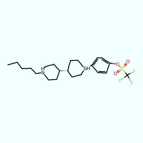 CCCCC[SiH]1CCC([C@H]2CC[Si@H](c3ccc(OS(=O)(=O)C(F)(F)F)cc3)CC2)CC1